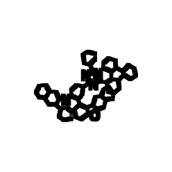 c1ccc(-c2nc(-c3ccc(-n4c5ccccc5c5cc6ccccc6cc54)c(-c4cccc5oc6cc7ccccc7cc6c45)c3)nc(-c3cccc4c5ccccc5c5ccccc5c34)n2)cc1